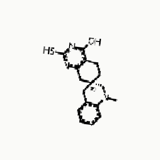 CN1C[C@]2(CCc3c(O)nc(S)nc3C2)Cc2ccccc21